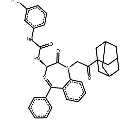 Cc1cccc(NC(=O)N[C@@H]2N=C(c3ccccc3)c3ccccc3N(CC(=O)C34CC5CC(CC(C5)C3)C4)C2=O)c1